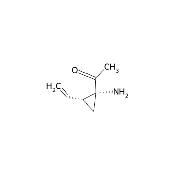 C=C[C@H]1C[C@]1(N)C(C)=O